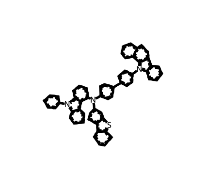 c1ccc(-n2c3ccccc3c3c(N(c4ccc(-c5ccc(-n6c7ccccc7c7ccc8ccccc8c76)cc5)cc4)c4ccc5c(c4)sc4ccccc45)cccc32)cc1